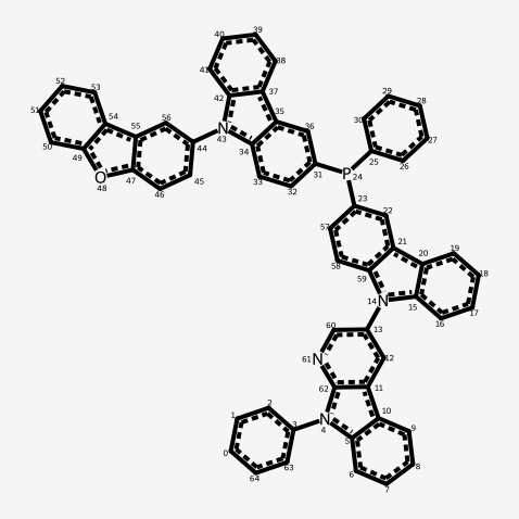 c1ccc(-n2c3ccccc3c3cc(-n4c5ccccc5c5cc(P(c6ccccc6)c6ccc7c(c6)c6ccccc6n7-c6ccc7oc8ccccc8c7c6)ccc54)cnc32)cc1